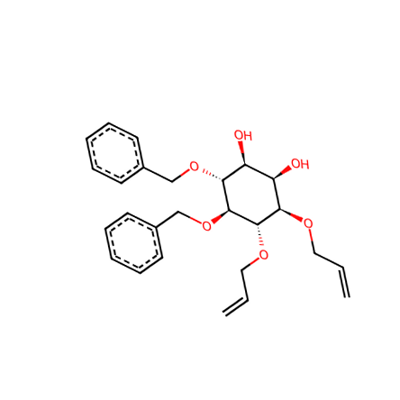 C=CCO[C@@H]1[C@@H](OCc2ccccc2)[C@H](OCc2ccccc2)[C@@H](O)[C@@H](O)[C@H]1OCC=C